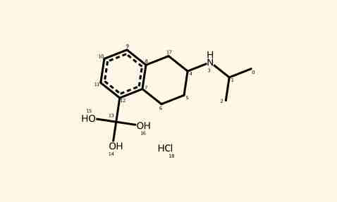 CC(C)NC1CCc2c(cccc2C(O)(O)O)C1.Cl